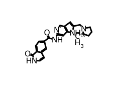 C[C@H]1CCCN1Cc1cc2cnc(NC(=O)c3ccc4c(=O)[nH]ccc4c3)cc2[nH]1